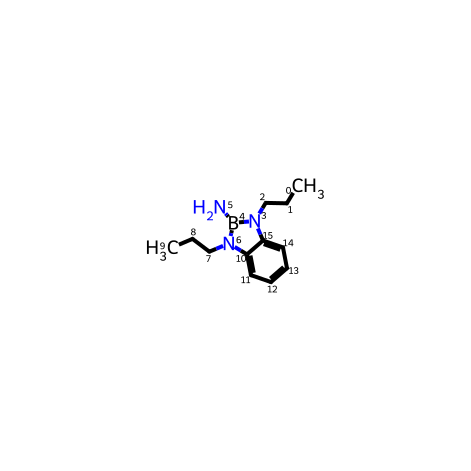 CCCN1B(N)N(CCC)c2ccccc21